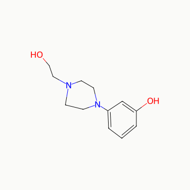 OCCN1CCN(c2cccc(O)c2)CC1